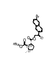 C[C@H]1CC[C@@H](C(=O)OCC(=O)c2ccc3cc(Br)ccc3c2)N1C(=O)OC(C)(C)C